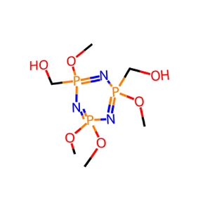 COP1(CO)=NP(CO)(OC)=NP(OC)(OC)=N1